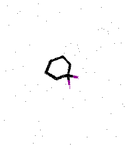 IC1(I)CC[CH]CC1